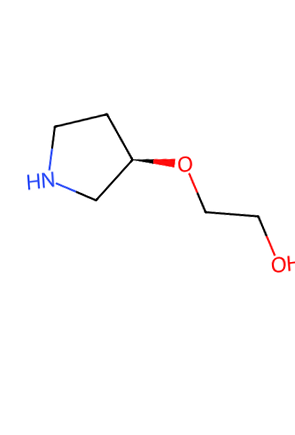 OCCO[C@@H]1CCNC1